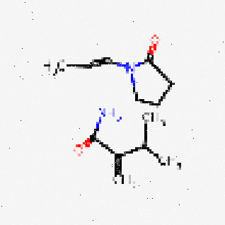 C=C(C(N)=O)C(C)C.CC=CN1CCCC1=O